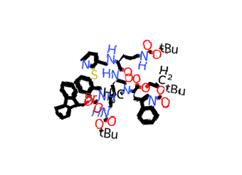 C=CCOC(=O)[C@H](Cc1cn(C(=O)OC(C)(C)C)c2ccccc12)N(C)C(=O)[C@H](CCCCNC(=O)OC(C)(C)C)NC(=O)[C@H](CCCNC(=O)OC(C)(C)C)NCc1cccnc1Sc1cccc(Br)c1CNC(=O)OCC1c2ccccc2-c2ccccc21